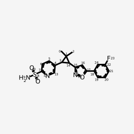 CC1(C)C(c2ccc(S(N)(=O)=O)nc2)C1c1cc(-c2cccc(F)c2)on1